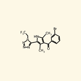 Cc1[nH]c(-c2nnnn2CC(F)(F)F)c(C)c1C(=O)c1cccc(Br)c1